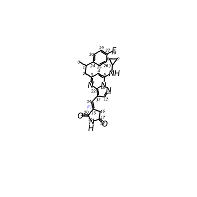 CC(Cc1cc(NC2CC2)n2ncc(/C=C3\CC(=O)NC3=O)c2n1)c1ccc(F)cc1